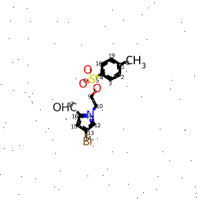 Cc1ccc(S(=O)(=O)OCCn2cc(Br)cc2C=O)cc1